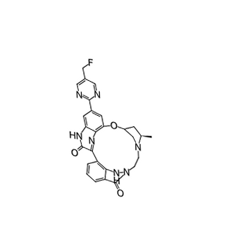 C[C@@H]1CC2CN1CCn1[nH]c3c(cccc3c1=O)-c1nc3c(cc(-c4ncc(CF)cn4)cc3[nH]c1=O)O2